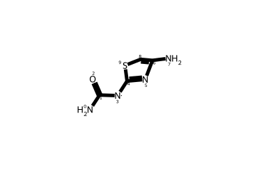 NC(=O)[N]c1nc(N)cs1